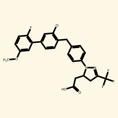 COc1ccc(F)c(-c2ccc(Cc3ccc(N4N=C(C(F)(F)F)CC4CC(=O)O)cc3)c(Cl)c2)c1